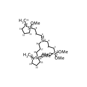 CO[Si](CCC[SiH](CCC[Si]1(OC)CCCN1C)CCC[Si]1(OC)CCCN1C)(OC)OC